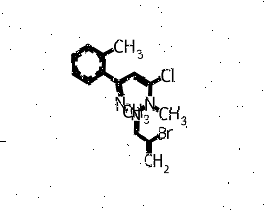 C=C(Br)/C=N\N(C)/C(Cl)=C\C(=N/C)c1ccccc1C